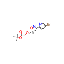 CC(C)(C)OC(=O)COC[C@@H]1CC(c2ccc(Br)cn2)=NO1